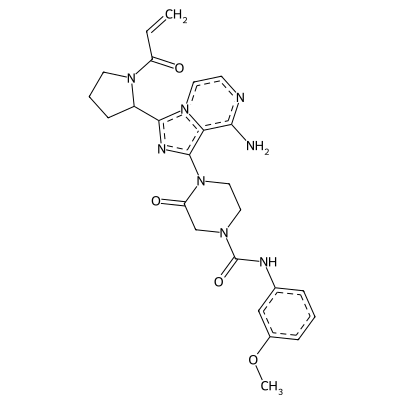 C=CC(=O)N1CCCC1c1nc(N2CCN(C(=O)Nc3cccc(OC)c3)CC2=O)c2c(N)nccn12